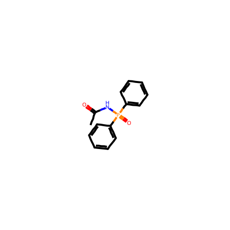 CC(=O)NP(=O)(c1ccccc1)c1ccccc1